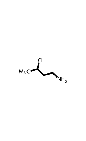 COC(Cl)CCN